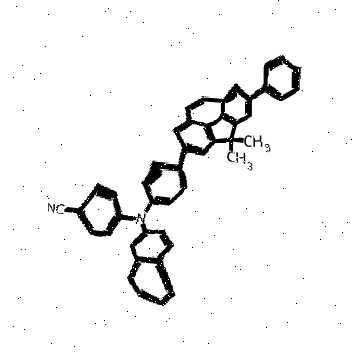 CC1(C)c2cc(-c3ccccc3)cc3ccc4cc(-c5ccc(N(c6ccc(C#N)cc6)c6ccc7ccccc7c6)cc5)cc1c4c23